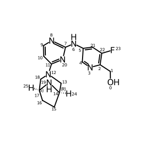 OCc1ncc(Nc2nccc(N3C[C@H]4CC[C@@H](C3)N4)n2)cc1F